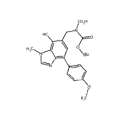 Cn1cnc2c(-c3ccc(OC(F)(F)F)cc3)cc(CN(C(=O)O)C(=O)OC(C)(C)C)c(C#N)c21